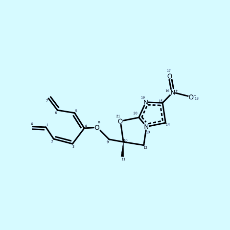 C=C/C=C\C(=C/C=C)OC[C@@]1(C)Cn2cc([N+](=O)[O-])nc2O1